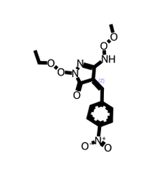 CCOON1N=C(NOOC)/C(=C/c2ccc([N+](=O)[O-])cc2)C1=O